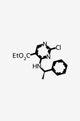 CCOC(=O)c1cnc(Cl)nc1N[C@H](C)c1ccccc1